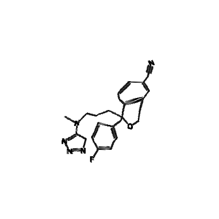 CN(CCCC1(c2ccc(F)cc2)OCc2cc(C#N)ccc21)C1=NN=NC1